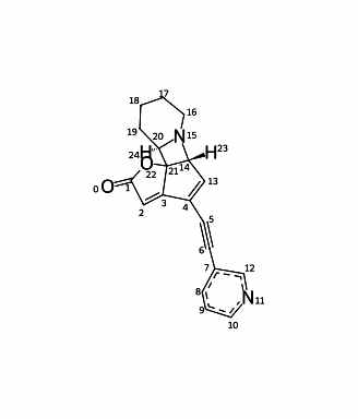 O=C1C=C2C(C#Cc3cccnc3)=C[C@H]3N4CCCC[C@@H]4C23O1